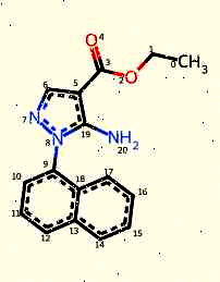 CCOC(=O)c1cnn(-c2cccc3ccccc23)c1N